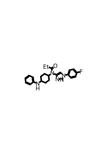 CCC(=O)N(c1cn(-c2ccc(F)cc2)nn1)C1CCC(Nc2ccccc2)CC1